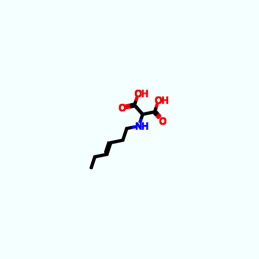 CCC=CCCNC(C(=O)O)C(=O)O